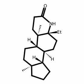 CC[C@@]12CC[C@H]3[C@@H]4CCC[C@@]4(C)CC[C@@H]3[C@@]1(C)CCC(=O)N2